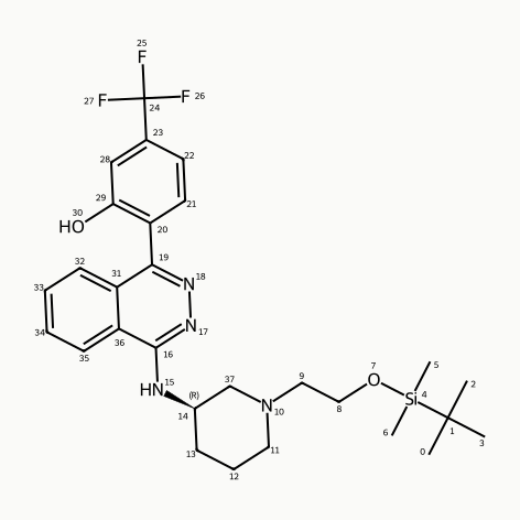 CC(C)(C)[Si](C)(C)OCCN1CCC[C@@H](Nc2nnc(-c3ccc(C(F)(F)F)cc3O)c3ccccc23)C1